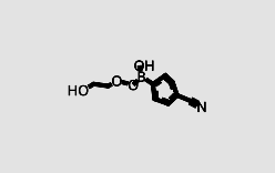 N#Cc1ccc(B(O)OOCCO)cc1